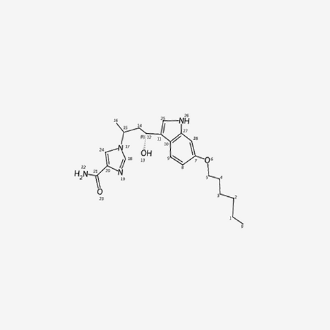 CCCCCCOc1ccc2c([C@H](O)CC(C)n3cnc(C(N)=O)c3)c[nH]c2c1